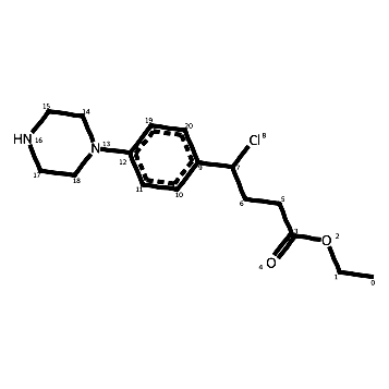 CCOC(=O)CCC(Cl)c1ccc(N2CCNCC2)cc1